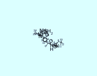 CC(C(=O)Nc1cc(CC(C)(C)C)no1)c1ccc(-c2nn(C3CC3)c(N)c2C(N)=O)cc1